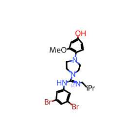 COc1cc(O)ccc1N1CCN(/C(=N\CC(C)C)Nc2cc(Br)cc(Br)c2)CC1